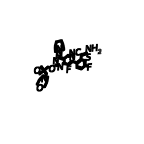 N#Cc1c(N)sc2c(F)ccc(-c3ncc4c(N5CC6CCC(C5)N6)nc(OCC5(CN6C7CCC6COC7)COC5)nc4c3F)c12